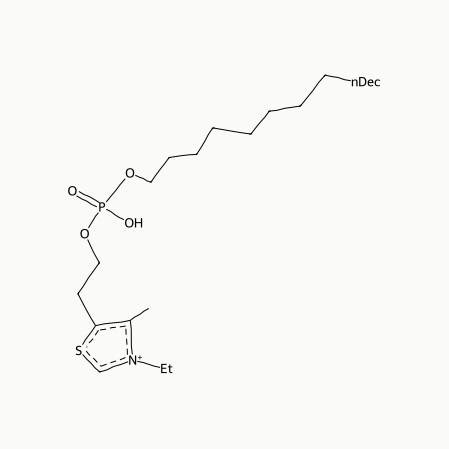 CCCCCCCCCCCCCCCCCCOP(=O)(O)OCCc1sc[n+](CC)c1C